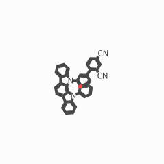 N#Cc1ccc(-c2cccc(-n3c4ccccc4c4ccc5c6ccccc6n(-c6ccccc6)c5c43)c2)c(C#N)c1